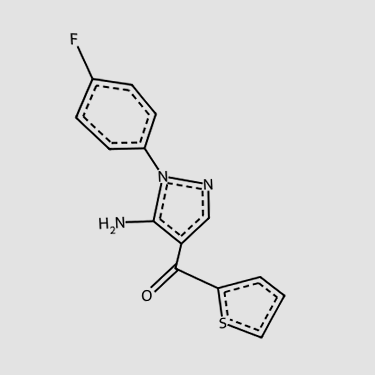 Nc1c(C(=O)c2cccs2)cnn1-c1ccc(F)cc1